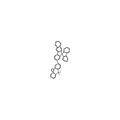 CC1(C)c2ccccc2Oc2cc(-c3ccc4c(c3)C3(c5ccccc5-c5ccccc53)c3cc5ccccc5cc3-4)ccc21